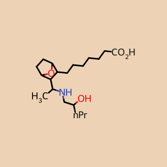 CCCC(O)CNC(C)C1C2CCC(O2)C1CCCCCCC(=O)O